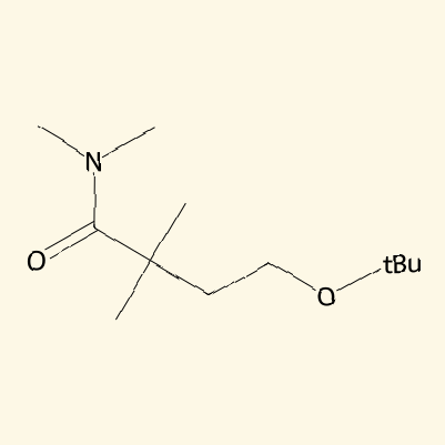 CN(C)C(=O)C(C)(C)CCOC(C)(C)C